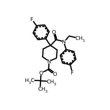 CCN(C(=O)C1(c2ccc(F)cc2)CCN(C(=O)OC(C)(C)C)CC1)c1ccc(F)cc1